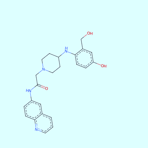 O=C(CN1CCC(Nc2ccc(O)cc2CO)CC1)Nc1ccc2ncccc2c1